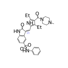 CCc1[nH]c(/C=C2\C(=O)Nc3ccc(S(=O)(=O)Nc4ccccc4)cc32)c(CC)c1C(=O)N1CCN(C)CC1